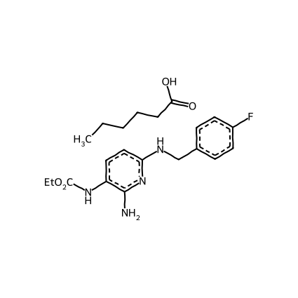 CCCCCC(=O)O.CCOC(=O)Nc1ccc(NCc2ccc(F)cc2)nc1N